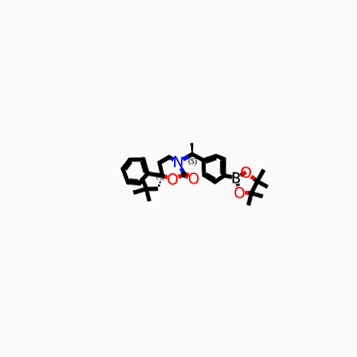 C[C@@H](c1ccc(B2OC(C)(C)C(C)(C)O2)cc1)N1CC[C@](CC(C)(C)C)(c2ccccc2)OC1=O